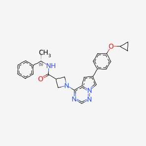 C[C@H](NC(=O)C1CN(c2ncnn3cc(-c4ccc(OC5CC5)cc4)cc23)C1)c1ccccc1